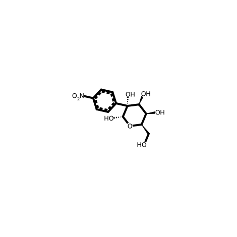 O=[N+]([O-])c1ccc([C@]2(O)[C@@H](O)O[C@H](CO)[C@H](O)[C@@H]2O)cc1